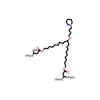 CCCCCC(CCCCC)CC(=O)OCCCCCCCCCC(CCCCCCCCCOC(=O)CC(CCCCC)CCCCC)OCCCCN1CCCCC1